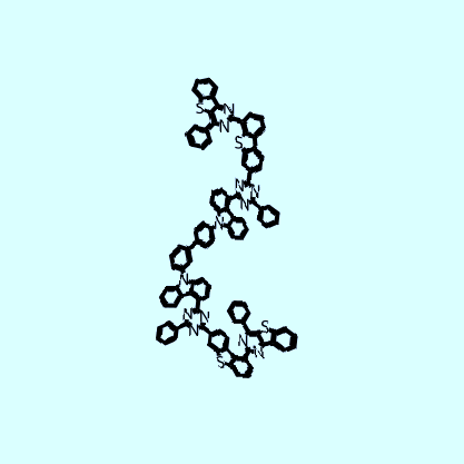 c1ccc(-c2nc(-c3ccc4c(c3)sc3c(-c5nc(-c6ccccc6)c6sc7ccccc7c6n5)cccc34)nc(-c3cccc4c3c3ccccc3n4-c3ccc(-c4cccc(-n5c6ccccc6c6c(-c7nc(-c8ccccc8)nc(-c8ccc9c(c8)sc8cccc(-c%10nc(-c%11ccccc%11)c%11sc%12ccccc%12c%11n%10)c89)n7)cccc65)c4)cc3)n2)cc1